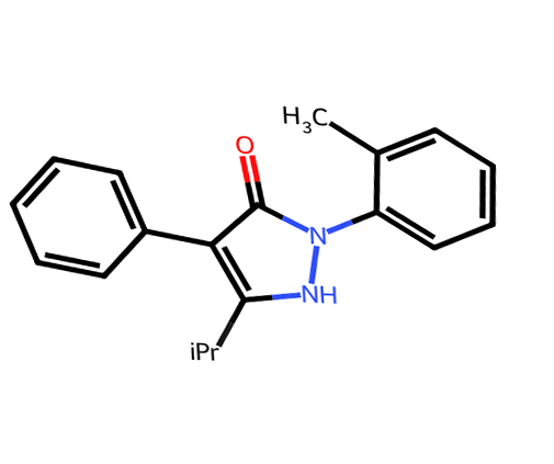 Cc1ccccc1-n1[nH]c(C(C)C)c(-c2ccccc2)c1=O